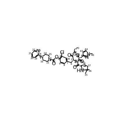 CCOC(=O)[C@H](Cc1ccc(OC(=O)N2CCN(c3ccccn3)CC2)c(Cl)c1)N(C(=O)[C@H]1NC(C)(C)CS1)S(=O)(=O)c1ccn(C)n1